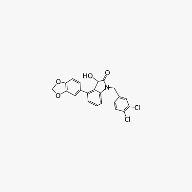 O=C1C(O)c2c(-c3ccc4c(c3)OCO4)cccc2N1Cc1ccc(Cl)c(Cl)c1